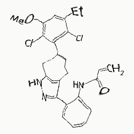 C=CC(=O)Nc1ccccc1-c1n[nH]c2c1CCC(c1c(Cl)c(CC)cc(OC)c1Cl)C2